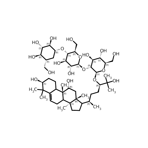 C[C@H](CC[C@@H](O[C@@H]1O[C@H](CO)[C@@H](O)[C@H](O)[C@H]1O[C@@H]1O[C@H](CO)[C@@H](O[C@@H]2C[C@H](CO)[C@@H](O)[C@H](O)[C@H]2O)[C@H](O)[C@H]1O)C(C)(C)O)C1CC[C@@]2(C)C3CC=C4C(CC[C@H](O)C4(C)C)[C@]3(C)[C@H](O)C[C@]12C